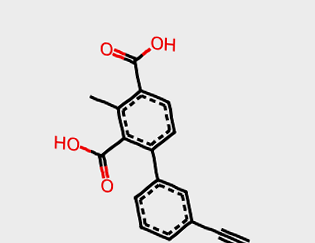 C#Cc1cccc(-c2ccc(C(=O)O)c(C)c2C(=O)O)c1